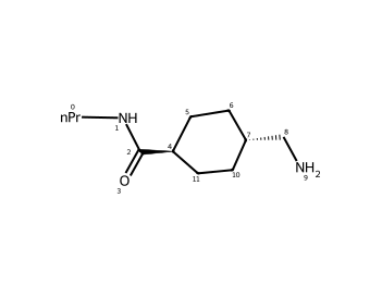 CCCNC(=O)[C@H]1CC[C@H](CN)CC1